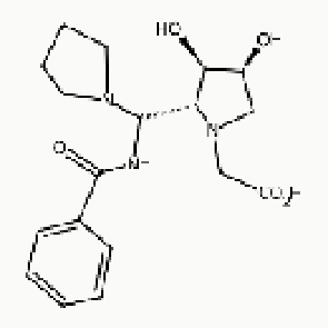 O=C(O)CN1C[C@H](O)[C@H](O)[C@H]1C(NC(=O)c1ccccc1)N1CCCC1